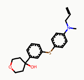 C=CCN(C)c1ccc(Sc2cccc(C3(O)CCOCC3)c2)cc1